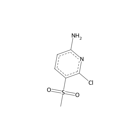 CS(=O)(=O)c1ccc(N)nc1Cl